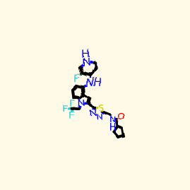 O=C(NCc1nnc(-c2cc3c(N[C@@H]4CCNC[C@@H]4F)cccc3n2CC(F)(F)F)s1)C1CCCC1